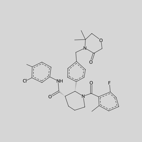 Cc1ccc(NC(=O)[C@H]2CCCN(C(=O)c3c(C)cccc3F)[C@H]2c2ccc(CN3C(=O)COCC3(C)C)cc2)cc1Cl